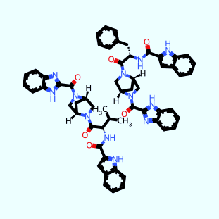 CC(C)[C@H](NC(=O)c1cc2ccccc2[nH]1)C(=O)N1C[C@@H]2C[C@H]1CN2C(=O)c1nc2ccccc2[nH]1.O=C(N[C@@H](Cc1ccccc1)C(=O)N1C[C@@H]2C[C@H]1CN2C(=O)c1nc2ccccc2[nH]1)c1cc2ccccc2[nH]1